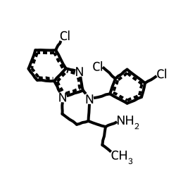 CCC(N)C1CCn2c(nc3c(Cl)cccc32)N1c1ccc(Cl)cc1Cl